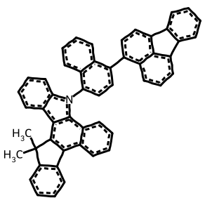 CC1(C)c2ccccc2-c2c1c1c3ccccc3n(-c3ccc(-c4ccc5c6c(cccc46)-c4ccccc4-5)c4ccccc34)c1c1ccccc21